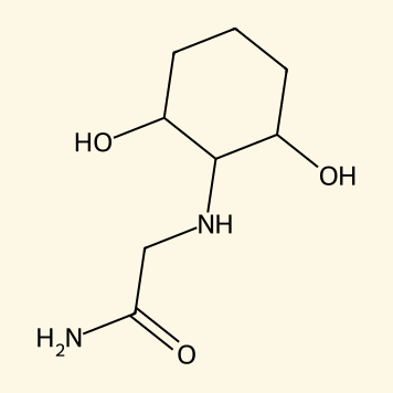 NC(=O)CNC1C(O)CCCC1O